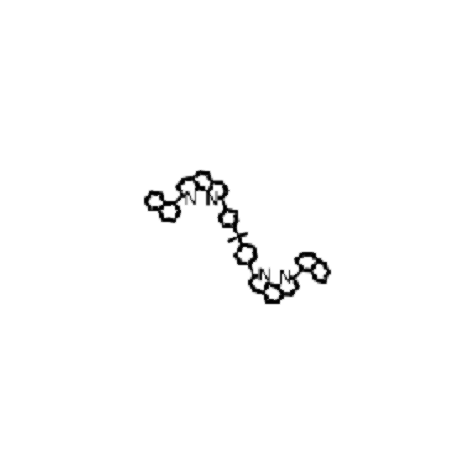 CC(C)(c1ccc(-c2ccc3ccc4ccc(-c5cccc6ccccc56)nc4c3n2)cc1)c1ccc(-c2ccc3ccc4ccc(-c5cccc6ccccc56)nc4c3n2)cc1